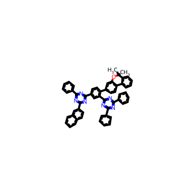 CC1(C)Oc2cc(-c3ccc(-c4nc(-c5ccccc5)nc(-c5ccc6ccccc6c5)n4)cc3-c3nc(-c4ccccc4)nc(-c4ccccc4)n3)ccc2-c2ccccc21